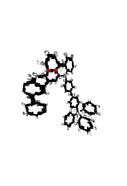 c1ccc(-c2ccc3sc4ccc(N(c5ccc(-c6ccc([Si](c7ccccc7)(c7ccccc7)c7ccccc7)cc6)cc5)c5ccccc5-c5ccccc5)cc4c3c2)cc1